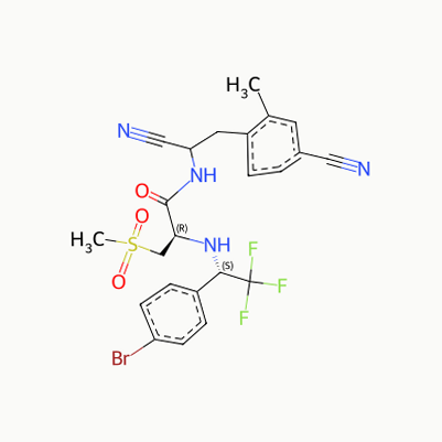 Cc1cc(C#N)ccc1CC(C#N)NC(=O)[C@H](CS(C)(=O)=O)N[C@@H](c1ccc(Br)cc1)C(F)(F)F